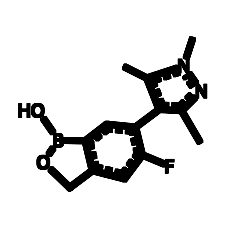 Cc1nn(C)c(C)c1-c1cc2c(cc1F)COB2O